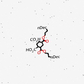 CCCCCCCCCCCCCOC(=O)C1CC(C(=O)OCCCCCCCCCCCCC)C(C(=O)O)CC1C(=O)O